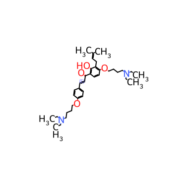 CCN(CC)CCCCOc1ccc(/C=C/C(=O)c2ccc(OCCCCN(CC)CC)c(CC=C(C)C)c2O)cc1